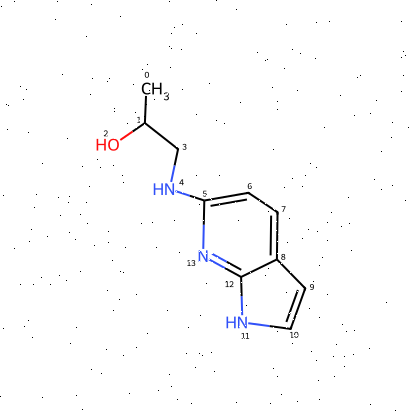 CC(O)CNc1ccc2cc[nH]c2n1